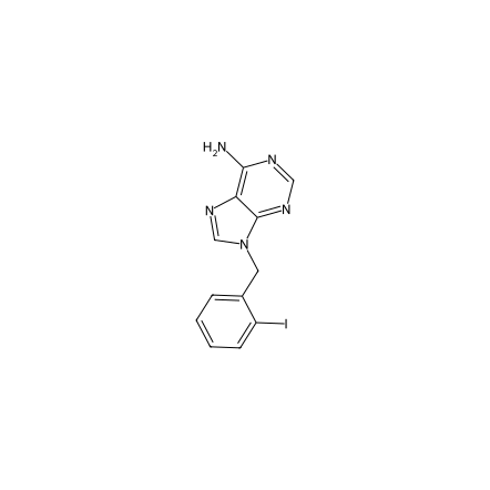 Nc1ncnc2c1ncn2Cc1ccccc1I